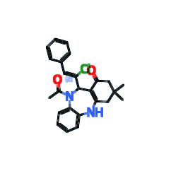 CC(=O)N1c2ccccc2NC2=C(C(=O)CC(C)(C)C2)C1/C(Cl)=C/c1ccccc1